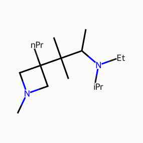 CCCC1(C(C)(C)C(C)N(CC)C(C)C)CN(C)C1